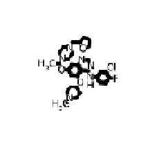 CC(Oc1cc(OC2CCN(C)CC2)c2c(Nc3ccc(F)c(Cl)c3)ncnc2c1)N1CCN(CC2CCCO2)CC1